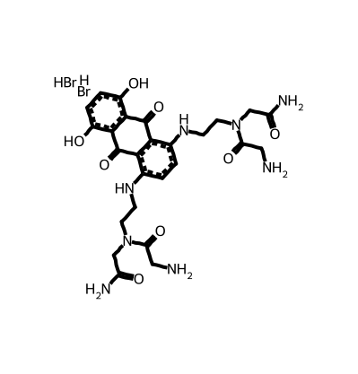 Br.Br.NCC(=O)N(CCNc1ccc(NCCN(CC(N)=O)C(=O)CN)c2c1C(=O)c1c(O)ccc(O)c1C2=O)CC(N)=O